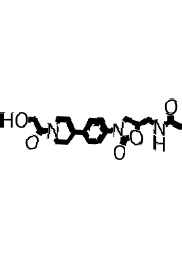 CC(=O)NCC1CN(c2ccc(C3=CCN(C(=O)CO)CC3)cc2)C(=O)O1